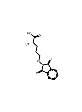 N[C@@H](CCCNN1C(=O)c2ccccc2C1=O)C(=O)O